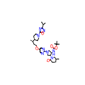 CC1CCC(=O)N([C@@H]2CN(c3ncc(OCC[C@@H](C)C4CCN(c5nc(C(C)C)no5)CC4)cn3)C[C@@H]2NC(=O)OC(C)(C)C)C1